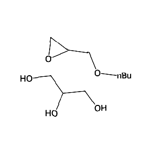 CCCCOCC1CO1.OCC(O)CO